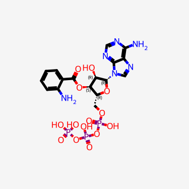 Nc1ccccc1C(=O)O[C@H]1[C@@H](O)[C@H](n2cnc3c(N)ncnc32)O[C@@H]1COP(=O)(O)OP(=O)(O)OP(=O)(O)O